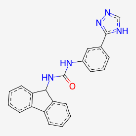 O=C(Nc1cccc(-c2nnc[nH]2)c1)NC1c2ccccc2-c2ccccc21